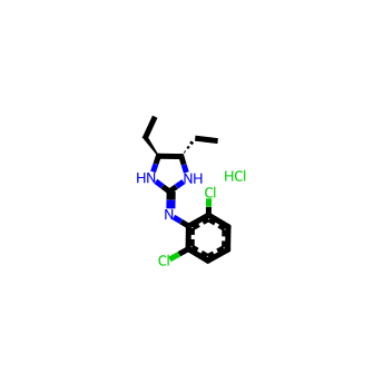 CC[C@@H]1NC(=Nc2c(Cl)cccc2Cl)N[C@H]1CC.Cl